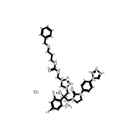 C[C@@H](N1CCN(c2ccc(-n3cnnn3)cc2)C1=O)[C@@](O)(CN1CN(COC(=O)OCCCOCc2ccccc2)[C+]=N1)c1ccc(F)cc1F.[Cl-]